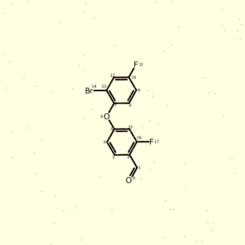 O=Cc1ccc(Oc2ccc(F)cc2Br)cc1F